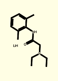 CCN(CC)CC(=O)Nc1c(C)cccc1C.[LiH]